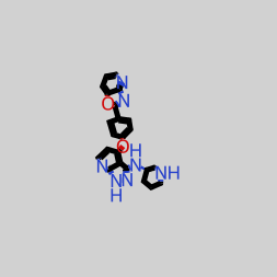 c1cnc2nc(-c3ccc(Oc4ccnc5[nH]nc(N[C@@H]6CCCNC6)c45)cc3)oc2c1